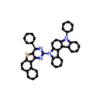 c1ccc(-c2nc(-n3c4ccccc4c4c5c6ccccc6n(-c6ccccc6)c5ccc43)nc3c2sc2ccc4ccccc4c23)cc1